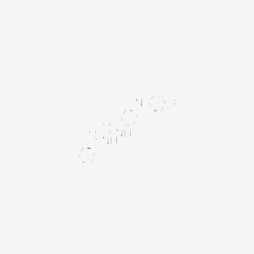 CCN(c1ccc(F)cc1)c1ccc(NC(=O)NC(=O)c2c(F)cccc2F)cc1